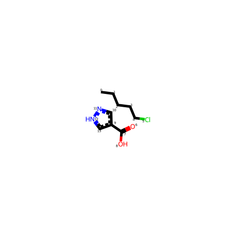 CCCCCCl.O=C(O)c1cn[nH]c1